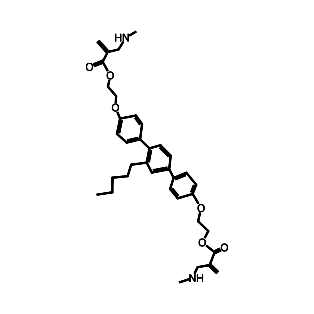 C=C(CNC)C(=O)OCCOc1ccc(-c2ccc(-c3ccc(OCCOC(=O)C(=C)CNC)cc3)c(CCCCC)c2)cc1